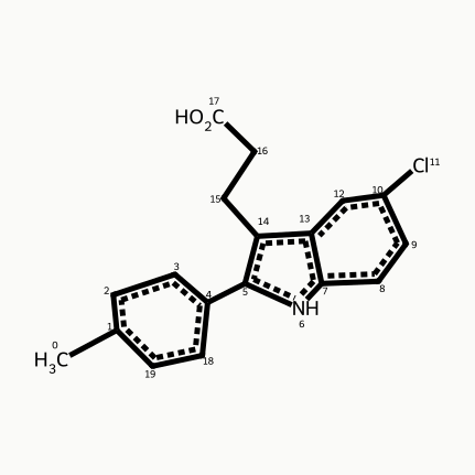 Cc1ccc(-c2[nH]c3ccc(Cl)cc3c2CCC(=O)O)cc1